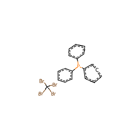 BrC(Br)(Br)Br.c1ccc(P(c2ccccc2)c2ccccc2)cc1